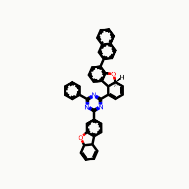 C1=CC2Oc3cc(-c4nc(C5=CC=C[C@H]6Oc7c(-c8ccc9ccccc9c8)cccc7C56)nc(-c5ccccc5)n4)ccc3C2C=C1